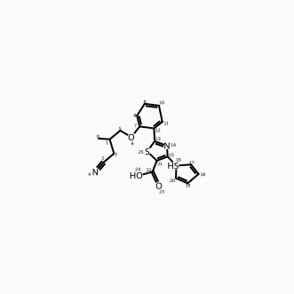 CC(CC#N)COc1ccccc1-c1nc([SH]2C=CC=C2)c(C(=O)O)s1